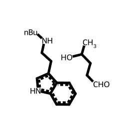 CC(O)CCC=O.CCCCNCCc1c[nH]c2ccccc12